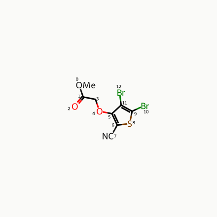 COC(=O)COc1c(C#N)sc(Br)c1Br